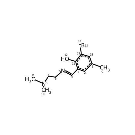 Cc1cc(/C=N/CCN(C)C)c(O)c(C(C)(C)C)c1